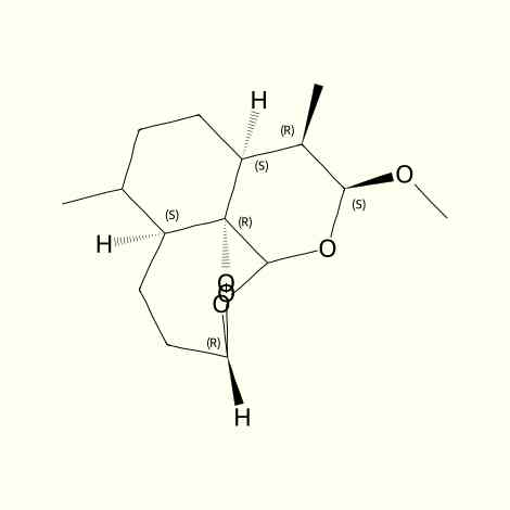 CO[C@H]1OC2O[C@H]3CC[C@H]4C(C)CC[C@@H]([C@H]1C)[C@@]24OO3